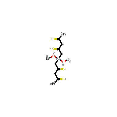 CCCC(=S)CC(=S)C[Si](CC(=S)CC(=S)CCC)(OCC)OCC